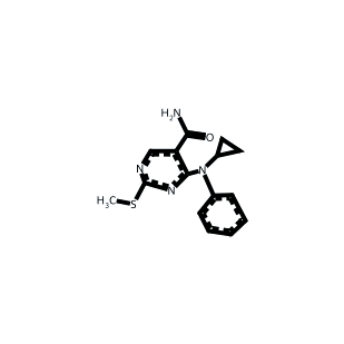 CSc1ncc(C(N)=O)c(N(c2ccccc2)C2CC2)n1